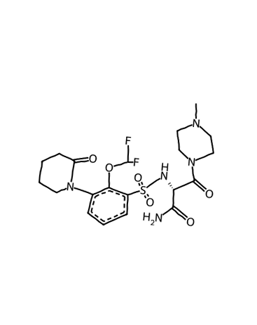 CN1CCN(C(=O)[C@@H](NS(=O)(=O)c2cccc(N3CCCCC3=O)c2OC(F)F)C(N)=O)CC1